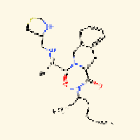 CSCCC(NC(=O)C1Cc2ccccc2CN1C(=O)[C@@H](NCC1CSCN1)C(C)C)C(=O)O